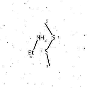 CCN.CSSC